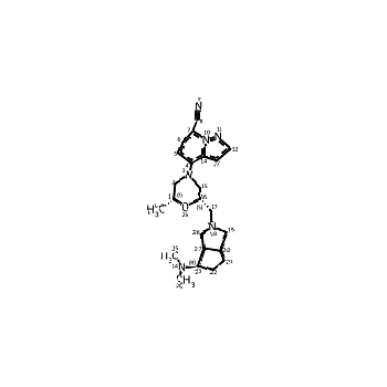 C[C@@H]1CN(c2ccc(C#N)n3nccc23)C[C@H](CN2CC3CC[C@@H](N(C)C)C3C2)O1